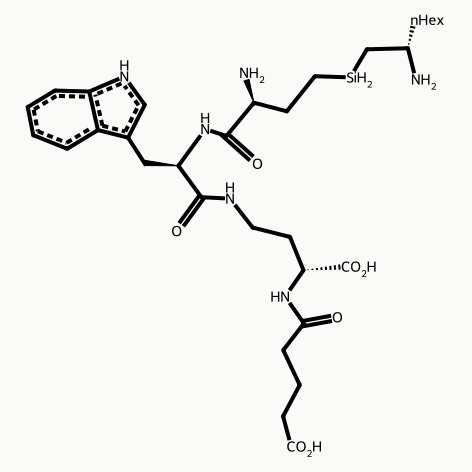 CCCCCC[C@H](N)C[SiH2]CC[C@H](N)C(=O)N[C@H](Cc1c[nH]c2ccccc12)C(=O)NCC[C@@H](NC(=O)CCCC(=O)O)C(=O)O